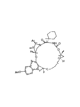 COc1ccc2nc3c(nc2c1)O[C@H]1CN(C(=O)[C@H](C2(C)CCCCC2)NC(=O)O[C@]2(C)C[C@H]2CCCCC3(F)F)[C@H](C(C)=O)[C@@H]1C